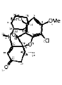 COc1cc(OC)c2c(c1Cl)O[C@]1(C2=O)C(N(C)C2CCCCC2)=CC(=O)C[C@H]1C